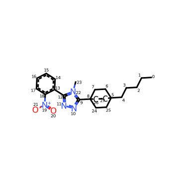 CCCCCC12CCC(c3nnc(-c4ccccc4[N+](=O)[O-])n3C)(CC1)CC2